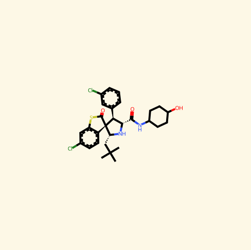 CC(C)(C)C[C@H]1N[C@@H](C(=O)NC2CCC(O)CC2)[C@H](c2cccc(Cl)c2)[C@@]12C(=O)Sc1cc(Cl)ccc12